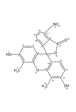 Cc1c(O)ccc2c1Oc1c(ccc(O)c1C)C21OC(=O)c2c([N+](=O)[O-])cccc21